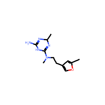 Cc1cc(CCN(C)C2=NC(C)N=C(N)N2)co1